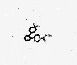 CCC1(CC)CC=C(c2ccccc2N2CCN(C(=O)OC(C)(C)C)CC2)CC1